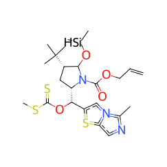 C=CCOC(=O)N1C(O[SiH](C)C)[C@@H](C(C)(C)C)C[C@H]1C(OC(=S)SC)c1cn2c(C)ncc2s1